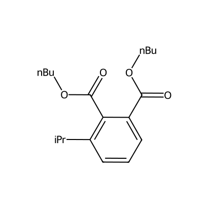 CCCCOC(=O)c1cccc(C(C)C)c1C(=O)OCCCC